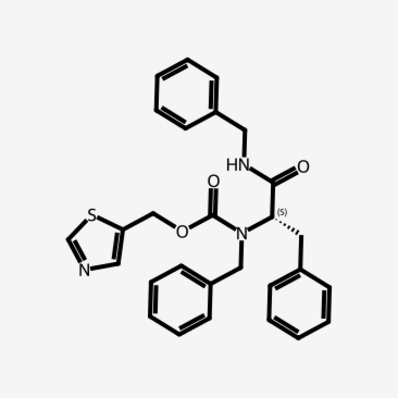 O=C(NCc1ccccc1)[C@H](Cc1ccccc1)N(Cc1ccccc1)C(=O)OCc1cncs1